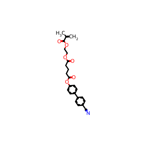 C=C(C)C(=O)OCCOC(=O)CCCC(=O)Oc1ccc(-c2ccc(C#N)cc2)cc1